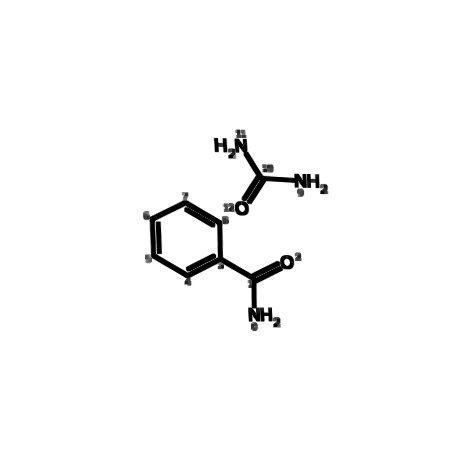 NC(=O)c1ccccc1.NC(N)=O